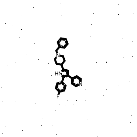 Fc1ccc(-c2[nH]c(C3CCN(Cc4ccccc4)CC3)cc2-c2ccncc2)cc1